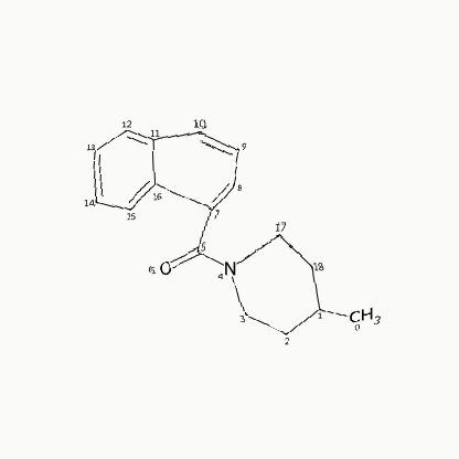 CC1CCN(C(=O)c2cccc3ccccc23)CC1